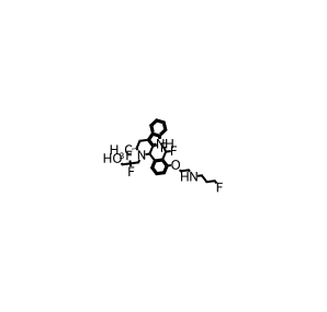 C[C@@H]1Cc2c([nH]c3ccccc23)C(c2cccc(OCCNCCCF)c2C(F)F)N1CC(F)(F)CO